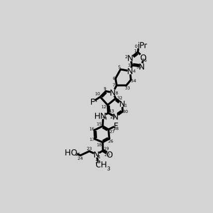 CC(C)c1nc(N2CCC(n3cc(F)c4c(Nc5ccc(C(=O)N(C)CCO)cc5F)ncnc43)CC2)no1